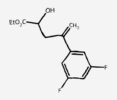 C=C(CC(O)C(=O)OCC)c1cc(F)cc(F)c1